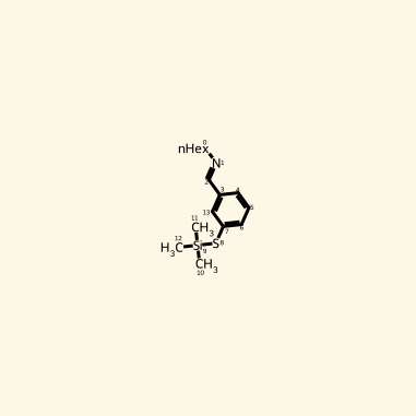 CCCCCCN=Cc1cccc(S[Si](C)(C)C)c1